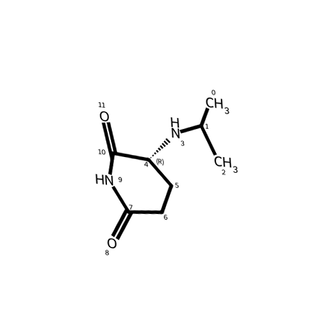 CC(C)N[C@@H]1CCC(=O)NC1=O